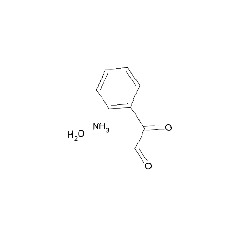 N.O.O=CC(=O)c1ccccc1